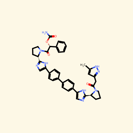 Cc1cc(CC(=O)N2CCC[C@H]2c2ncc(-c3ccc(-c4ccc(-c5cnc([C@@H]6CCCN6C(=O)[C@H](OC(N)=O)c6ccccc6)[nH]5)cc4)cc3)[nH]2)n[nH]1